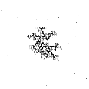 C[C@H](CCCNC(=N)N)C(=O)N[C@H](CCCNC(=N)N)C(=O)N[C@H](CCCNC(=N)N)C(=O)N[C@H](CCCNC(=N)N)C(=O)N[C@H](CCCNC(=N)N)C(=O)N[C@H](CCCNC(=N)N)C(=O)N[C@H](CCCNC(=N)N)C(=O)N[C@H](CCCNC(=N)N)C(=O)N[C@H](CS)C(N)=O